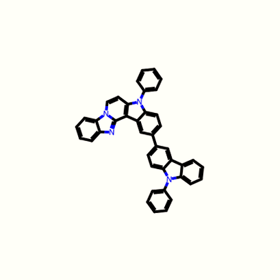 c1ccc(-n2c3ccccc3c3cc(-c4ccc5c(c4)c4c(ccn6c7ccccc7nc46)n5-c4ccccc4)ccc32)cc1